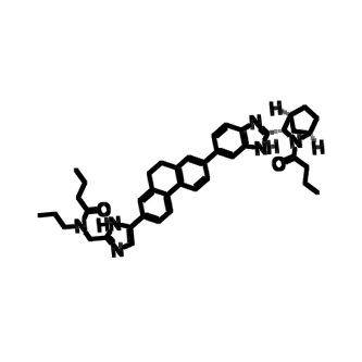 CCCC(=O)N(CCC)Cc1ncc(-c2ccc3c(c2)CCc2cc(-c4ccc5nc([C@@H]6[C@H]7CC[C@H](C7)N6C(=O)CCC)[nH]c5c4)ccc2-3)[nH]1